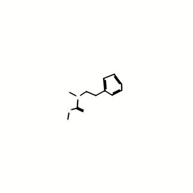 CC(C)(C)N(CCc1ccccc1)C(=O)NO